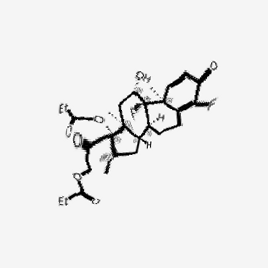 CCC(=O)OCC(=O)[C@]1(OC(=O)CC)[C@H](C)C[C@H]2[C@@H]3CCC4=C(F)C(=O)C=C[C@]4(C)[C@@]3(F)[C@@H](O)C[C@@]21C